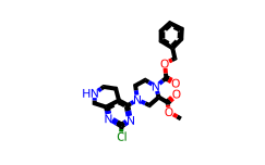 COC(=O)C1CN(c2nc(Cl)nc3c2CCNC3)CCN1C(=O)OCc1ccccc1